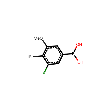 COc1cc(B(O)O)cc(F)c1C(C)C